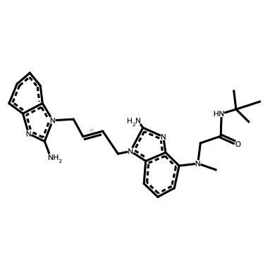 CN(CC(=O)NC(C)(C)C)c1cccc2c1nc(N)n2C/C=C/Cn1c(N)nc2ccccc21